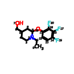 CCN1CCC(CO)CC1Oc1ccc(F)c(F)c1F